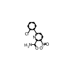 NC(=O)c1nc(-c2ccccc2Cl)ccc1[N+](=O)[O-]